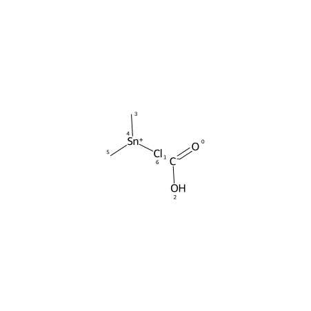 O=[C-]O.[CH3][Sn+]([CH3])[Cl]